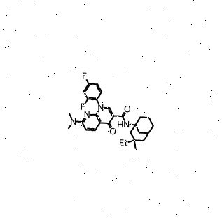 CCC1(C)CC2CCCC(NC(=O)c3cn(-c4ccc(F)cc4F)c4nc(N(C)C)ccc4c3=O)(C2)C1